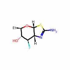 CC[C@H]1O[C@@H]2SC(N)=N[C@@H]2[C@@H](F)[C@@H]1O